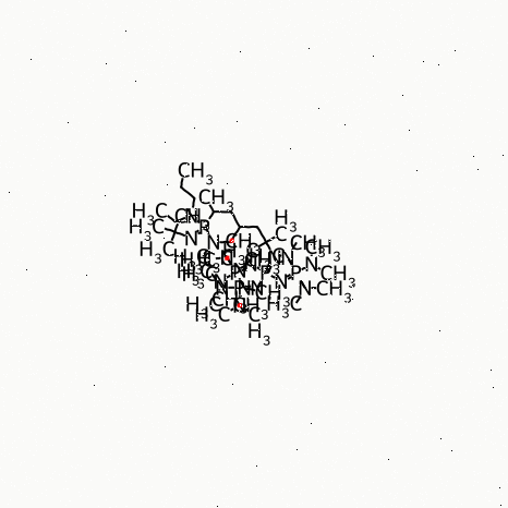 CCCN(CC)P1(=NC(C)(C)C)C(C)CC(CC(C)(C)N=P(N=P(N(C)C)(N(C)C)N(C)C)(N=P(N(C)C)(N(C)C)N(C)C)N=P(N(C)C)(N(C)C)N(C)C)CN1C